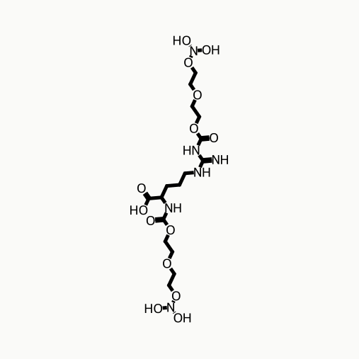 N=C(NCCCC(NC(=O)OCCOCCON(O)O)C(=O)O)NC(=O)OCCOCCON(O)O